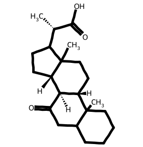 C[C@H](C(=O)O)C1CC[C@H]2[C@@H]3C(=O)CC4CCCCC4(C)[C@H]3CCC12C